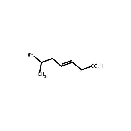 CC(C)C(C)CC=CCC(=O)O